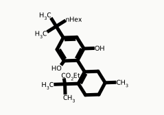 CCCCCCC(C)(C)c1cc(O)c(C2=C(C(C)(C)C(=O)OCC)CCC(C)C2)c(O)c1